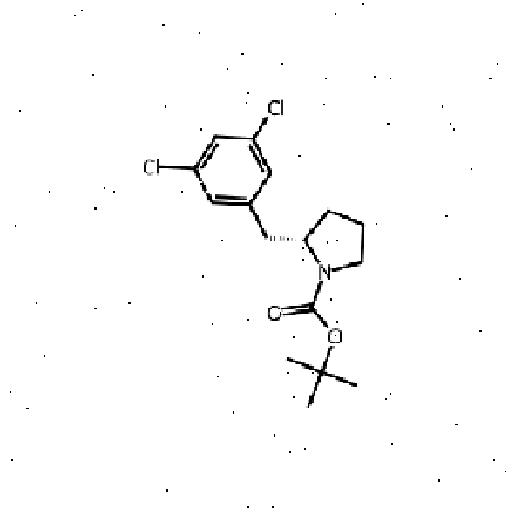 CC(C)(C)OC(=O)N1CCC[C@H]1Cc1cc(Cl)cc(Cl)c1